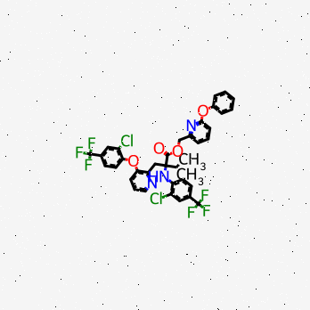 CC(C)C(Cc1ncccc1Oc1ccc(C(F)(F)F)cc1Cl)(Nc1ccc(C(F)(F)F)cc1Cl)C(=O)OCc1cccc(Oc2ccccc2)n1